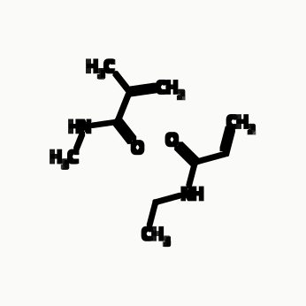 C=C(C)C(=O)NC.C=CC(=O)NCC